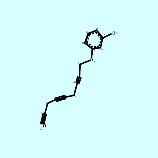 C#CCC#CCC#CCOc1cccc(Cl)c1